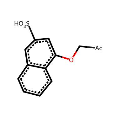 CC(=O)COc1cc(S(=O)(=O)O)cc2ccccc12